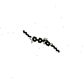 CCCCCCCOc1ccc(OC(=O)c2ccc(-c3ccc(OCCCCCCC)c(F)c3)cc2)c(F)c1